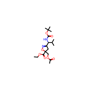 CCOC(=O)C1(COC(C)=O)CC([C@@H](NC(=O)OC(C)(C)C)C(C)C)=NO1